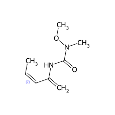 C=C(/C=C\C)NC(=O)N(C)OC